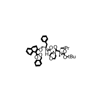 CC(C)C[C@@H](C(=O)N1CCOC[C@@H]1C(=O)N[C@@H](COc1ccc2ccccc2c1C(=O)OCc1ccccc1)Cc1ccccc1)N(C)C(=O)OC(C)(C)C